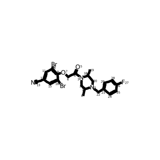 CC1CN(C(=O)COc2c(Br)cc(C#N)cc2Br)C(C)CN1Cc1ccc(F)cc1